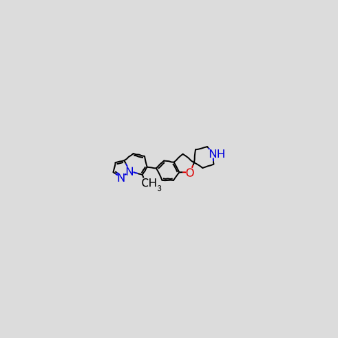 Cc1c(-c2ccc3c(c2)CC2(CCNCC2)O3)ccc2ccnn12